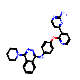 Nc1nccc(-c2cccnc2Oc2ccc(Nc3nnc(N4CCCCC4)c4ccccc34)cc2)n1